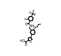 CCCOc1ccc(-c2csc(C(=O)O)c2)cc1CNC(=O)c1ccc(C(F)(F)F)cc1F